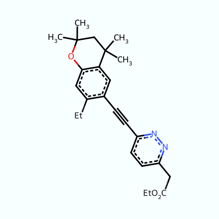 CCOC(=O)Cc1ccc(C#Cc2cc3c(cc2CC)OC(C)(C)CC3(C)C)nn1